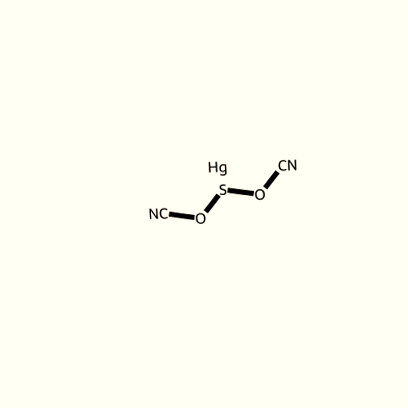 N#COSOC#N.[Hg]